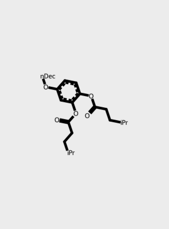 CCCCCCCCCCOc1ccc(OC(=O)CCC(C)C)c(OC(=O)CCC(C)C)c1